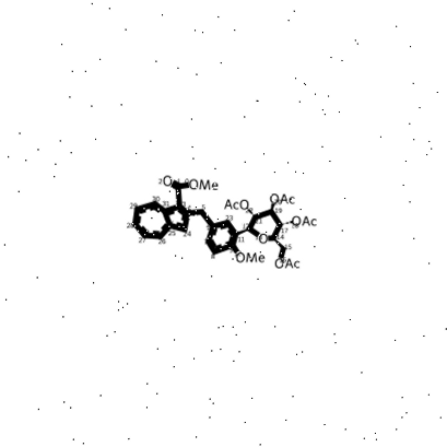 COC(=O)c1c(Cc2ccc(OC)c([C@@H]3O[C@H](COC(C)=O)[C@@H](OC(C)=O)[C@H](OC(C)=O)[C@H]3OC(C)=O)c2)cc2cccccc1-2